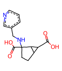 O=C(O)C1C2CCC(NCc3cccnc3)(C(=O)O)C21